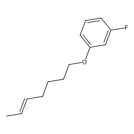 C/C=C/CCCCOc1cc[c]c(F)c1